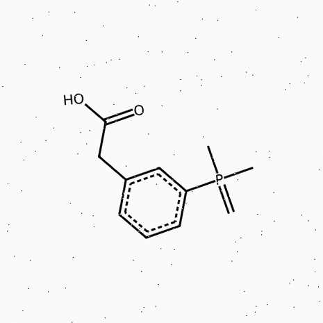 C=P(C)(C)c1cccc(CC(=O)O)c1